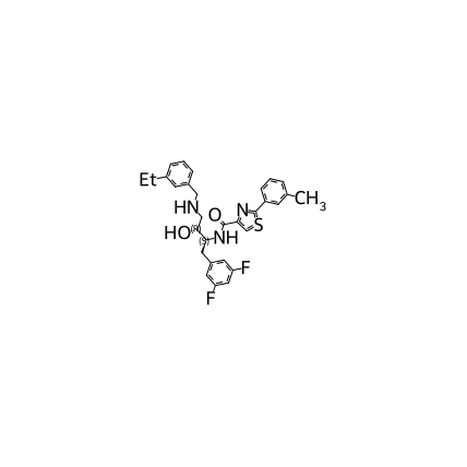 CCc1cccc(CNC[C@@H](O)[C@H](Cc2cc(F)cc(F)c2)NC(=O)c2csc(-c3cccc(C)c3)n2)c1